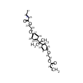 C=CC(=O)OCCOc1ccc(C(C)(C)c2ccc(OCCOC(=O)/C=C/I)cc2)cc1